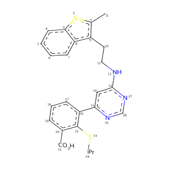 Cc1sc2ccccc2c1CCNc1cc(-c2cccc(C(=O)O)c2SC(C)C)ncn1